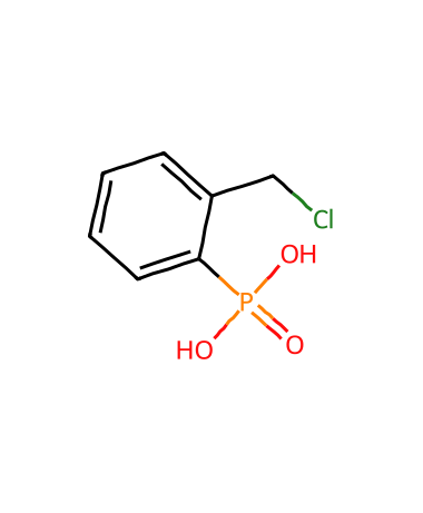 O=P(O)(O)c1ccccc1CCl